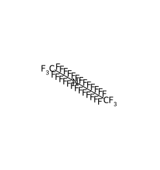 FC(F)(F)C(F)(F)C(F)(F)C(F)(F)C(F)(F)C(F)(F)C(F)(F)C(F)(F)[N+](F)(F)C(F)(F)C(F)(F)C(F)(F)C(F)(F)C(F)(F)C(F)(F)F